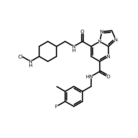 Cc1cc(CNC(=O)c2cc(C(=O)NCC3CCC(NCl)CC3)n3ncnc3n2)ccc1F